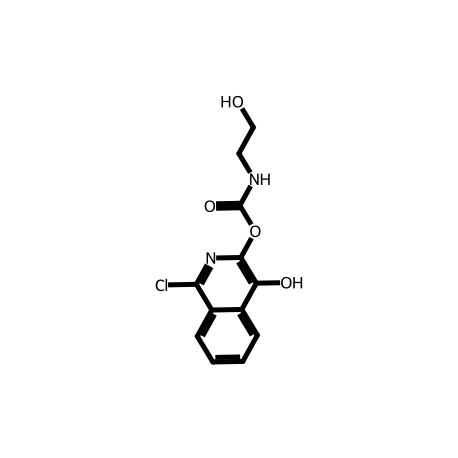 O=C(NCCO)Oc1nc(Cl)c2ccccc2c1O